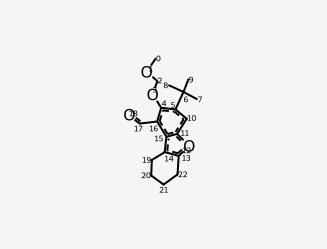 COCOc1c(C(C)(C)C)cc2oc3c(c2c1C=O)CCCC3